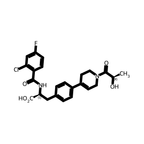 C[C@@H](O)C(=O)N1CC=C(c2ccc(C[C@H](NC(=O)c3ccc(F)cc3Cl)C(=O)O)cc2)CC1